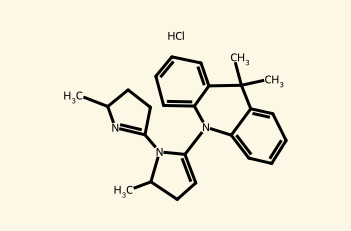 CC1CCC(N2C(N3c4ccccc4C(C)(C)c4ccccc43)=CCC2C)=N1.Cl